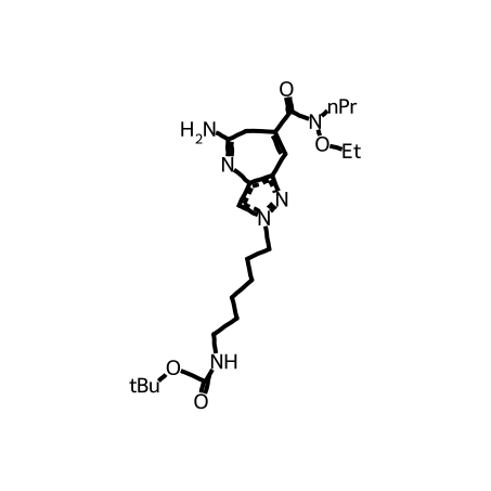 CCCN(OCC)C(=O)C1=Cc2nn(CCCCCCNC(=O)OC(C)(C)C)cc2N=C(N)C1